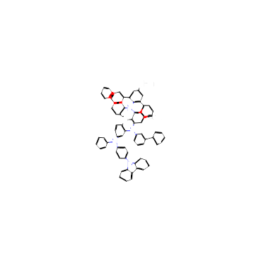 CC(C)(C)c1cc(-c2ccccc2)c(N2c3cc(-c4ccccc4)ccc3B3c4ccc(N(c5ccccc5)c5ccc(-n6c7ccccc7c7ccccc76)cc5)cc4N(c4cccc(-c5ccccc5)c4)c4cc(C(C)(C)C)cc2c43)c(-c2ccccc2)c1